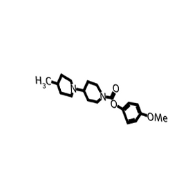 COc1ccc(OC(=O)N2CCC(N3CCC(C)CC3)CC2)cc1